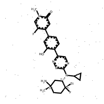 CC[C@@]1(F)CC[C@](C)(N)C[C@@H]1N(c1ncc(-c2ccc(-c3cc(=O)n(C)cc3F)cc2O)nn1)C1CC1